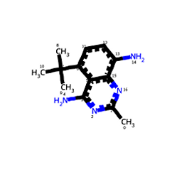 Cc1nc(N)c2c(C(C)(C)C)ccc(N)c2n1